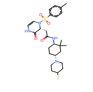 Cc1ccc(S(=O)(=O)N2C=CNC(=O)[C@H]2CC(=O)N[C@@H]2CC[C@@H](N3CCC(F)CC3)CC2(C)C)cc1